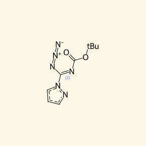 CC(C)(C)OC(=O)/N=C(\N=[N+]=[N-])n1cccn1